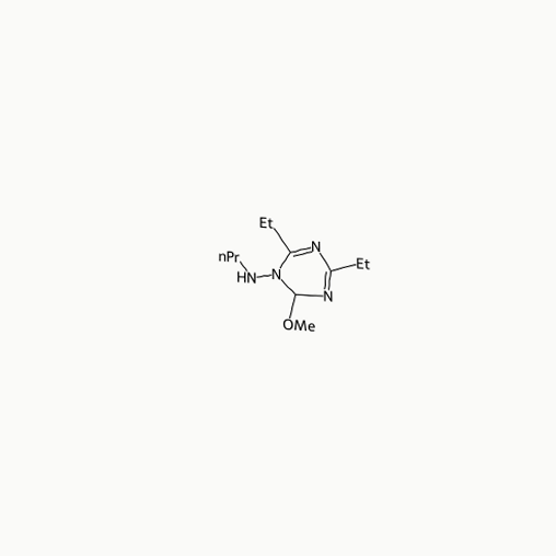 CCCNN1C(CC)=NC(CC)=NC1OC